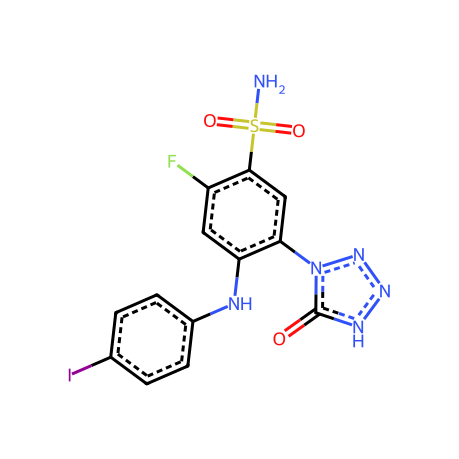 NS(=O)(=O)c1cc(-n2nn[nH]c2=O)c(Nc2ccc(I)cc2)cc1F